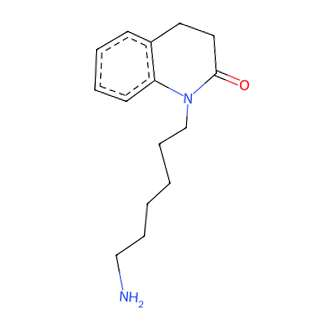 NCCCCCCN1C(=O)CCc2ccccc21